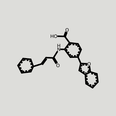 O=C(C=Cc1ccccc1)Nc1cc(-c2cc3ccccc3o2)ccc1C(=O)O